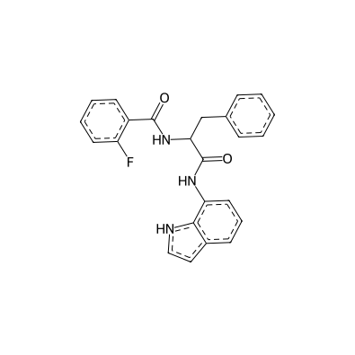 O=C(NC(Cc1ccccc1)C(=O)Nc1cccc2cc[nH]c12)c1ccccc1F